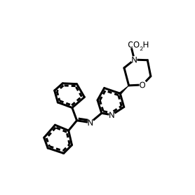 O=C(O)N1CCO[C@@H](c2ccc(N=C(c3ccccc3)c3ccccc3)nc2)C1